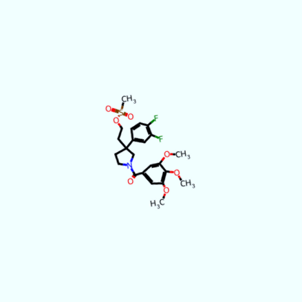 COc1cc(C(=O)N2CCC(CCOS(C)(=O)=O)(c3ccc(F)c(F)c3)C2)cc(OC)c1OC